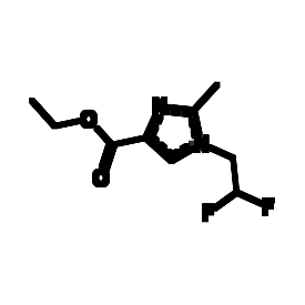 CCOC(=O)c1cn(CC(F)F)c(C)n1